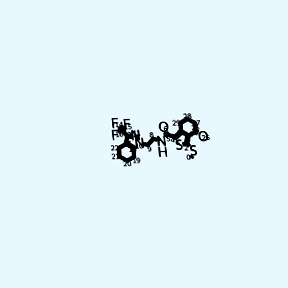 CSc1sc(C(=O)NCCn2nc(C(F)(F)F)c3c2CCCC3)c2c1C(=O)CCC2